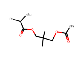 CCCCC(CC)C(=O)OCC(C)(C)COC(=O)CCC